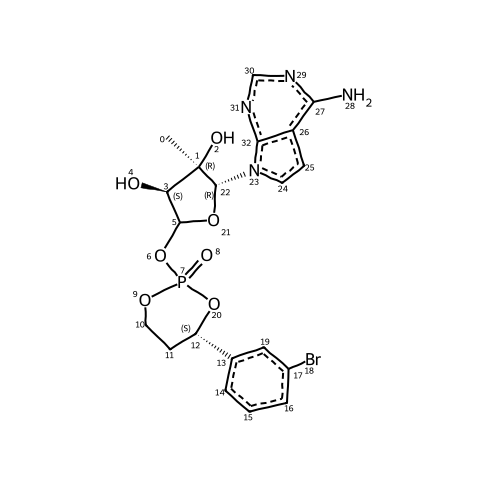 C[C@@]1(O)[C@H](O)C(OP2(=O)OCC[C@@H](c3cccc(Br)c3)O2)O[C@H]1n1ccc2c(N)ncnc21